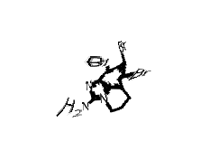 Nc1nc2c(Br)c(Br)c(Br)c3c2n1CCC3